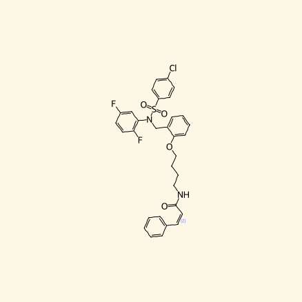 O=C(/C=C\c1ccccc1)NCCCCOc1ccccc1CN(c1cc(F)ccc1F)S(=O)(=O)c1ccc(Cl)cc1